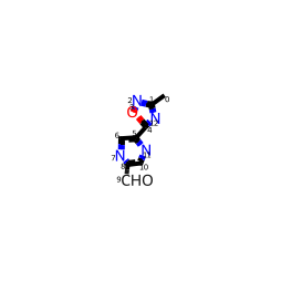 Cc1noc(-c2cnc(C=O)cn2)n1